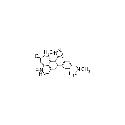 CN(C)Cc1ccc(C2CC3=C4C(=CC(=O)CN=C4C2c2ncnn2C)N(F)NC3)cc1